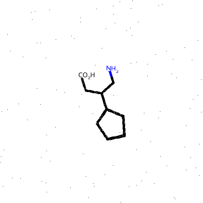 NCC(CC(=O)O)C1CCCC1